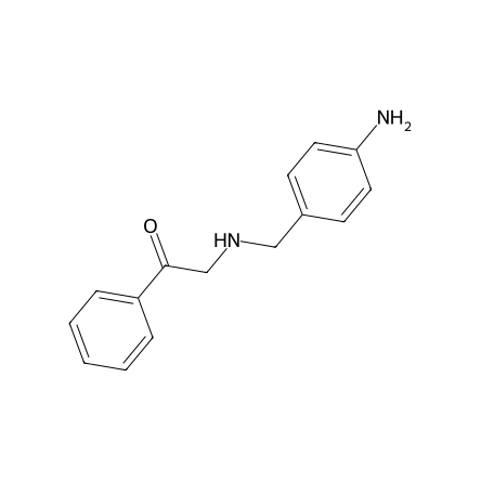 Nc1ccc(CNCC(=O)c2ccccc2)cc1